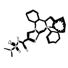 CN(C)S(=O)(=O)NC(=O)C1=NC2=C[N+]3(C4CCCCC4)c4ccccc4CC3C3CC=CCC3N2C1